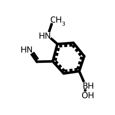 CNc1ccc(BO)cc1C=N